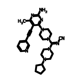 Cc1nc(N)nc(N2CCN(/C(=N\C#N)N3CCN(C4CCCC4)CC3)CC2)c1C#Cc1cccnc1